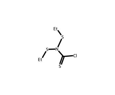 CCSN(SCC)C(=S)Cl